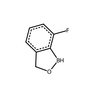 Fc1cccc2c1BOC2